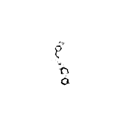 CCS(=O)(=O)c1ccc(CC(=O)Nc2nc3c(s2)C(=O)N(c2cccc(Cl)c2)CC3)cc1